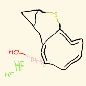 BO.F.F.c1ccc2c(c1)SC1CC21